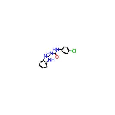 O=C(Nc1ccc(Cl)cc1)Nc1nc2ccccc2[nH]1